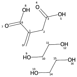 C=C(CC(=O)O)C(=O)O.OCCO.OCCO